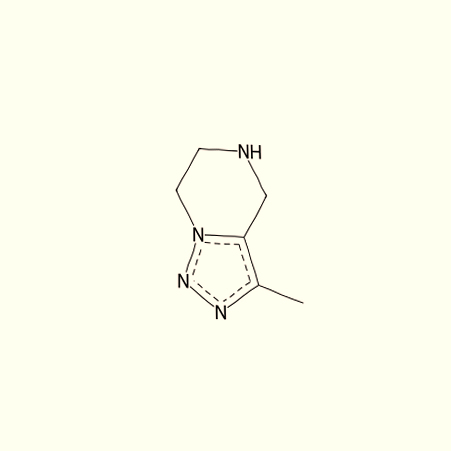 Cc1nnn2c1CNCC2